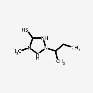 CCC(C)N1NC(S)N(C)N1